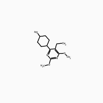 CCc1c(OC)nc(OC)nc1C1CCC(O)CC1